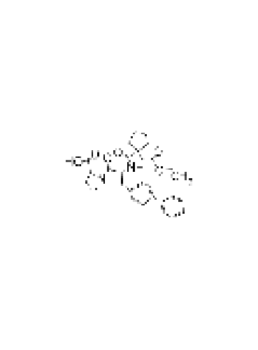 CCOC(=O)CC1(C(=O)N[C@@H](Cc2ccc(-c3ccccc3)cc2)C(=O)N2CCCC2C(=O)O)CCCC1